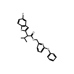 CC(C)C(C(=O)OCc1cccc(Oc2ccccc2)n1)c1cc2cc(F)ccc2s1